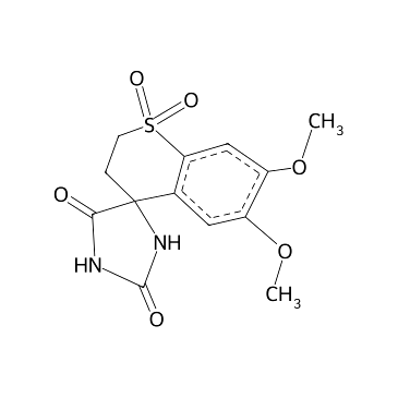 COc1cc2c(cc1OC)S(=O)(=O)CCC21NC(=O)NC1=O